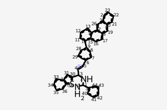 NC(NC(/C=C/c1ccc(-c2cccc3c2ccc2cc4ccccc4cc23)cc1)c1cc2ccccc2s1)c1ccccc1